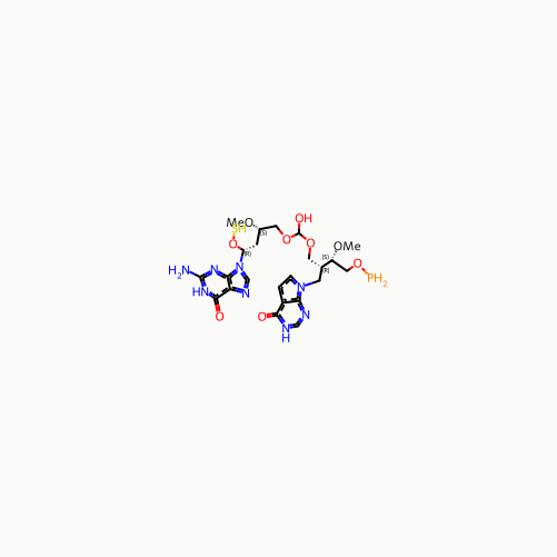 CO[C@H](COC(O)OC[C@@H](Cn1ccc2c(=O)[nH]cnc21)[C@@H](COP)OC)C[C@@H](OS)n1cnc2c(=O)[nH]c(N)nc21